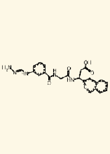 NN=CNc1cccc(C(=O)NCC(=O)NC(CC(=O)O)c2ccc3ccccc3c2)c1